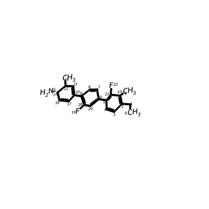 CCc1ccc(-c2ccc(C3=CC(C)[C@@H](N)C=C3)c(F)c2)c(F)c1C